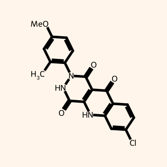 COc1ccc(-n2[nH]c(=O)c3[nH]c4cc(Cl)ccc4c(=O)c3c2=O)c(C)c1